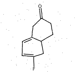 O=C1CCC2CC(F)=CC=C2C1